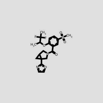 CC(Oc1ccc(S(C)(=O)=O)cc1C(=O)N1CC2CC2(c2ncco2)C1)C(C)(F)F